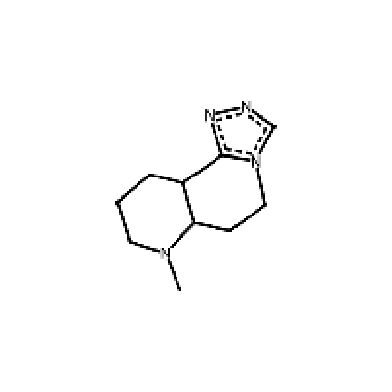 CN1CCCC2c3nncn3CCC21